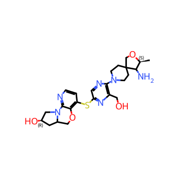 C[C@@H]1OCC2(CCN(c3ncc(Sc4ccnc5c4OCC4C[C@@H](O)CN54)nc3CO)CC2)C1N